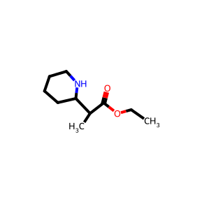 CCOC(=O)C(C)C1CCCCN1